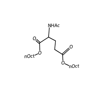 CCCCCCCCOC(=O)CCC(NC(C)=O)C(=O)OCCCCCCCC